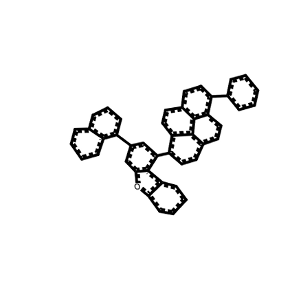 c1ccc(-c2ccc3ccc4c(-c5cc(-c6cccc7ccccc67)cc6oc7ccccc7c56)ccc5ccc2c3c54)cc1